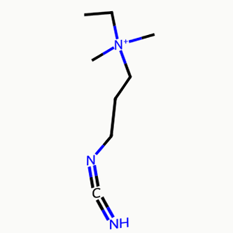 CC[N+](C)(C)CCCN=C=N